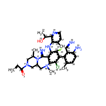 C=CC(=O)N1CC(C)N2C(=N)c3c(Nc4c(C)ccnc4C(C)O)c(F)c(-c4c(C)ccc(N)c4C=N)c(Cl)c3N(C)CC2C1